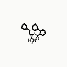 NC[C@@H](CCc1ccccc1)NC(=O)c1ccccc1-c1ccccc1